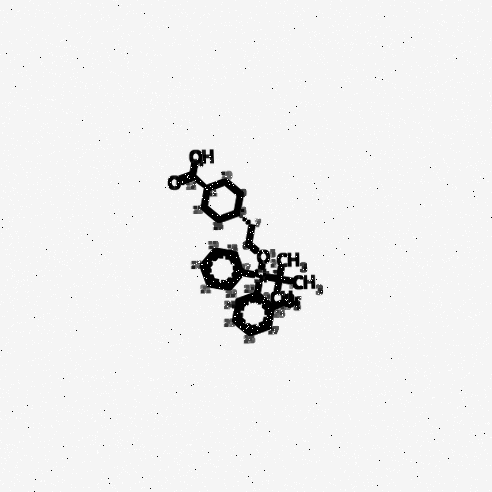 CC(C)(C)[Si](OCC[C@H]1CC[C@H](C(=O)O)CC1)(c1ccccc1)c1ccccc1Br